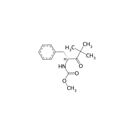 COC(=O)N[C@H](Cc1ccccc1)C(=O)C(C)(C)C